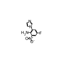 Nc1c(-n2ccnc2)cc(F)cc1[N+](=O)[O-]